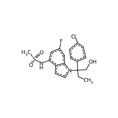 CCC(CO)(c1ccc(Cl)cc1)n1ccc2c(NS(C)(=O)=O)cc(F)cc21